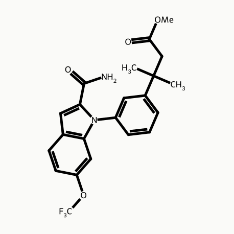 COC(=O)CC(C)(C)c1cccc(-n2c(C(N)=O)cc3ccc(OC(F)(F)F)cc32)c1